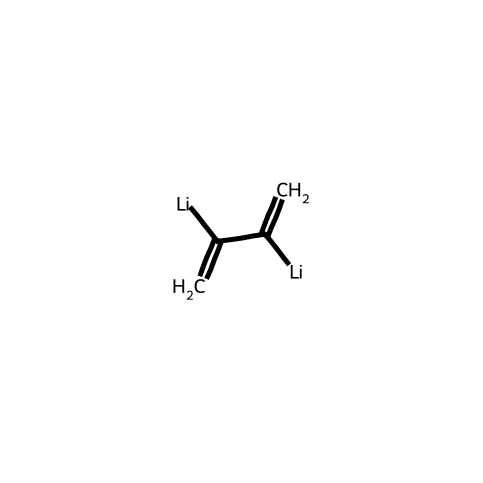 [Li][C](=C)[C]([Li])=C